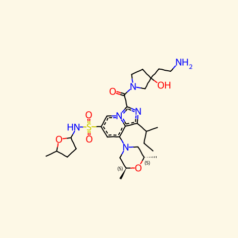 CCC(C)c1nc(C(=O)N2CCC(O)(CCN)C2)n2cc(S(=O)(=O)NC3CCC(C)O3)cc(N3C[C@H](C)O[C@@H](C)C3)c12